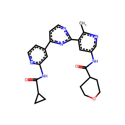 Cc1ncc(NC(=O)C2CCOCC2)cc1-c1nccc(-c2ccnc(NC(=O)C3CC3)c2)n1